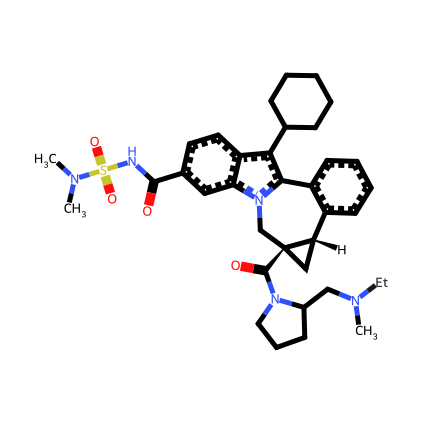 CCN(C)CC1CCCN1C(=O)[C@]12C[C@H]1c1ccccc1-c1c(C3CCCCC3)c3ccc(C(=O)NS(=O)(=O)N(C)C)cc3n1C2